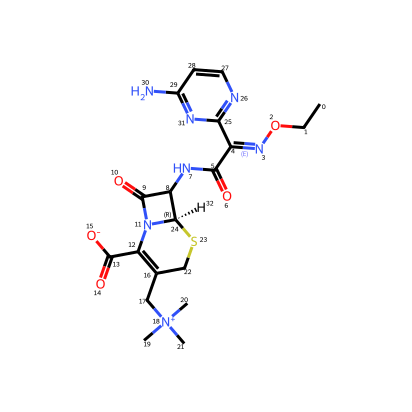 CCO/N=C(/C(=O)NC1C(=O)N2C(C(=O)[O-])=C(C[N+](C)(C)C)CS[C@H]12)c1nccc(N)n1